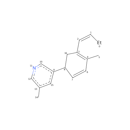 CC/C=C\C1=C(C)C=CC(c2cncc(C)c2)C1